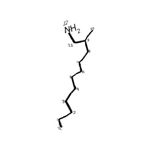 CCCCCCCCCC(C)CN